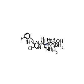 BC(B)(O)C(B)(B)N/C=C(\C=N)Nc1ncc(Cl)c(NCc2cccc(F)c2F)n1